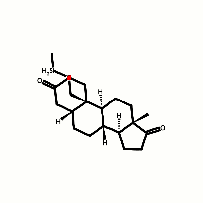 C[SiH2]OC[C@]12CCC(=O)C[C@H]1CC[C@@H]1[C@@H]2CC[C@]2(C)C(=O)CC[C@@H]12